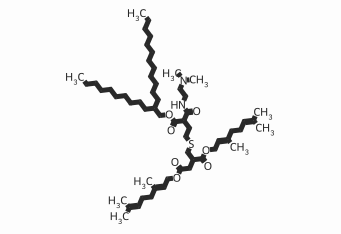 CCCCCCCCCCCCC(CCCCCCCCCC)COC(=O)C(CCSCC(CC(=O)OC/C=C(\C)CCC=C(C)C)C(=O)OC/C=C(\C)CCC=C(C)C)C(=O)NCCN(C)C